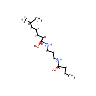 CCCC(=O)NCCCNC(=O)CCCCC(C)C